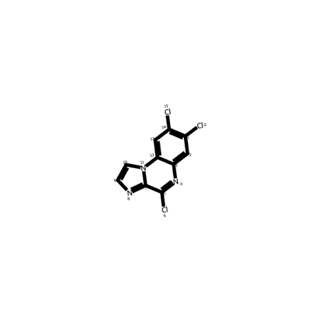 Clc1cc2nc(Cl)c3nccn3c2cc1Cl